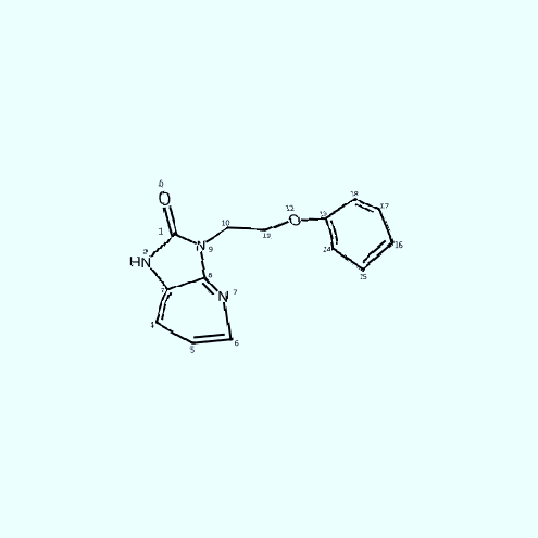 O=c1[nH]c2cccnc2n1CCOc1ccccc1